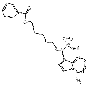 C[C@H](O)[C@@H](CCCCCCOC(=O)c1ccccc1)n1cnc2c(N)ncnc21